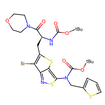 CC(C)(C)OC(=O)N[C@@H](Cc1sc2c(N(Cc3cccs3)C(=O)OC(C)(C)C)snc2c1Br)C(=O)N1CCOCC1